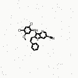 COc1cc(Nc2c(C=Cc3ccccc3)sc3cc(C#N)cnc23)c(Cl)cc1Cl